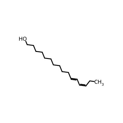 CC/C=C\C=C\CCCCCCCCCCO